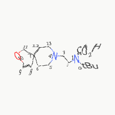 CC(C)(C)N(CCN1CCC2(CCOC2)CC1)C(=O)O